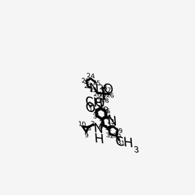 COc1cc2c(NCC3CC3)c3c(nc2cc1OCC1(CN2CCCC2)COC1)CC(C)C3